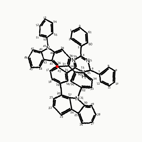 c1ccc(C2=NC(c3ccccc3)NC(c3cccc(-c4cccc5c6ccccc6n(-c6cccc(-c7ccc8c(c7)c7ccccc7n8-c7ccccc7)c6)c45)c3)=N2)cc1